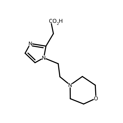 O=C(O)Cc1nccn1CCN1CCOCC1